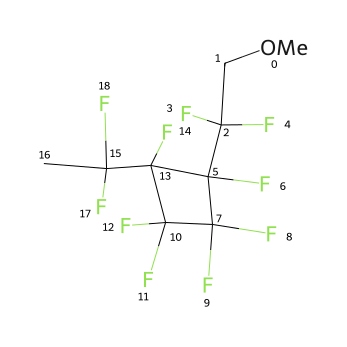 COCC(F)(F)C1(F)C(F)(F)C(F)(F)C1(F)C(C)(F)F